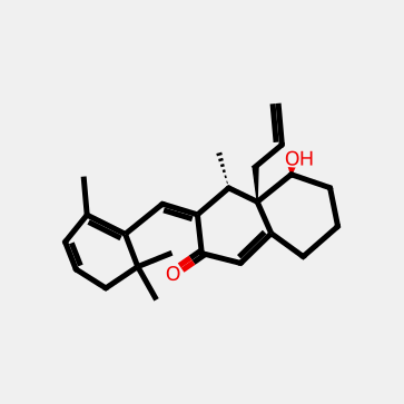 C=CC[C@@]12C(=CC(=O)C(=CC3=C(C)C=CCC3(C)C)[C@@H]1C)CCC[C@@H]2O